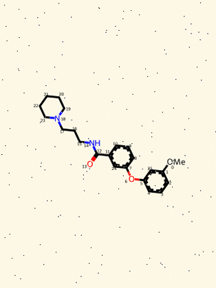 COc1cccc(Oc2cccc(C(=O)NCCCN3CCCCC3)c2)c1